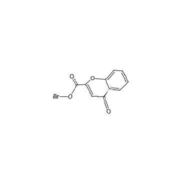 O=C(OBr)c1cc(=O)c2ccccc2o1